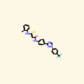 Cc1ccccc1N/C(S)=C/C(=O)Nc1ccc(-c2ncn(-c3ccc(C(F)(F)F)cc3)n2)cc1